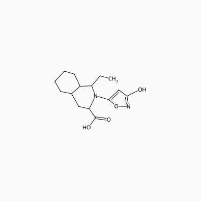 CCC1C2CCCCC2CC(C(=O)O)N1c1cc(O)no1